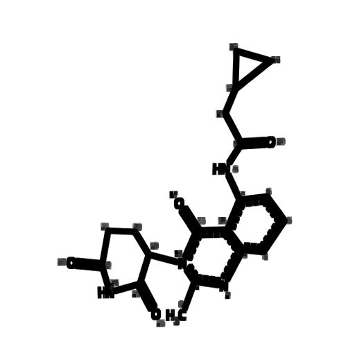 Cc1nc2cccc(NC(=O)CC3CC3)c2c(=O)n1C1CCC(=O)NC1=O